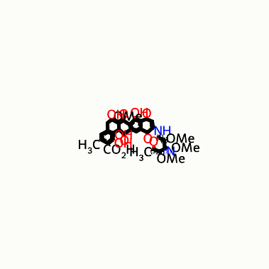 CO/N=C1/[C@@H](OC)[C@H](C)O[C@H](NC2=CC(=O)c3c(cc4c(c3O)C(=O)C3(OC)C(O)Cc5cc(C)c(C(=O)O)c(O)c5C3(O)C4=O)C2=O)[C@@H]1OC